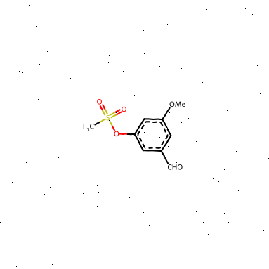 COc1cc(C=O)cc(OS(=O)(=O)C(F)(F)F)c1